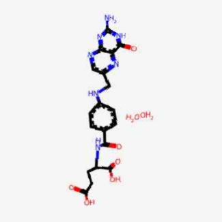 Nc1nc2ncc(CNc3ccc(C(=O)NC(CCC(=O)O)C(=O)O)cc3)nc2c(=O)[nH]1.O.O